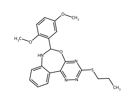 CCCSc1nnc2c(n1)OC(c1cc(OC)ccc1OC)Nc1ccccc1-2